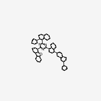 c1ccc(-c2ccc3ccc(-c4ccc(-c5nc(-c6c(-c7ccccc7)ccc7ccccc67)nc(-c6cccc7c6oc6ccccc67)n5)c5ccccc45)cc3c2)cc1